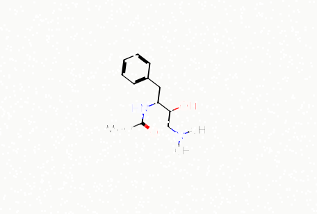 COC(=O)NC(Cc1ccccc1)C(O)CN(C)C